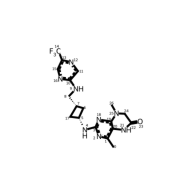 Cc1nc(N[C@H]2C[C@@H](CNc3cnc(C(F)(F)F)cn3)C2)nc2c1NC(=O)CN2C